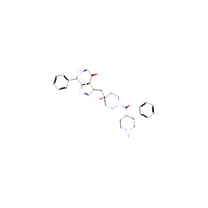 CC(=O)N1CC[C@@H](C(=O)N2CCC(O)(CC3C=NC4=C3C(=O)C=NC4c3ccccc3)CC2)[C@H](c2ccccc2)C1